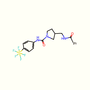 CC(C)C(=O)NCC1CCN(C(=O)Nc2ccc(S(F)(F)(F)(F)F)cc2)C1